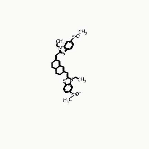 CCN1C(=CC2=CC3=CC(=Cc4sc5ccc(SOC)cc5[n+]4CC)CCC3CC2)Sc2ccc([S+](C)[O-])cc21